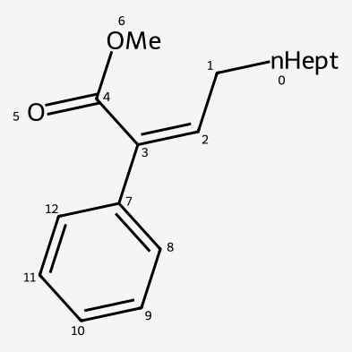 CCCCCCCCC=C(C(=O)OC)c1ccccc1